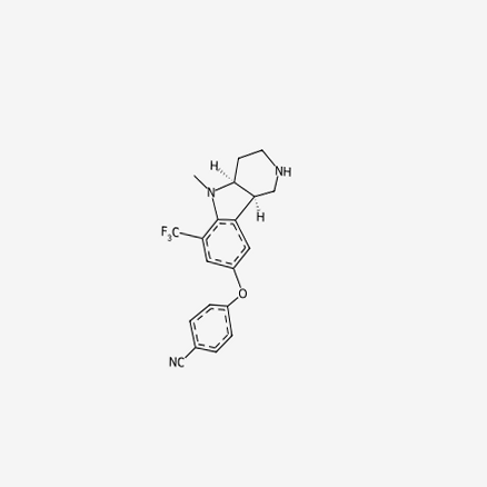 CN1c2c(cc(Oc3ccc(C#N)cc3)cc2C(F)(F)F)[C@@H]2CNCC[C@@H]21